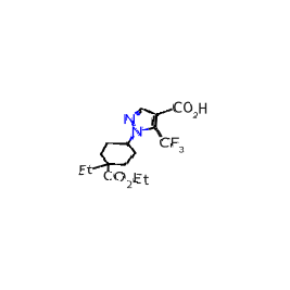 CCOC(=O)C1(CC)CCC(n2ncc(C(=O)O)c2C(F)(F)F)CC1